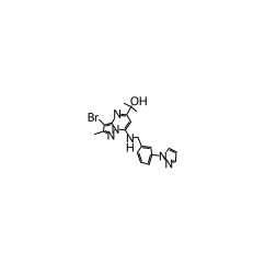 Cc1nn2c(NCc3cccc(-n4cccn4)c3)cc(C(C)(C)O)nc2c1Br